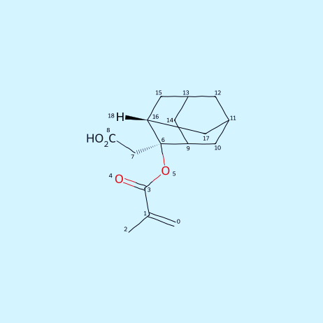 C=C(C)C(=O)O[C@]1(CC(=O)O)C2CC3CC(C2)C[C@@H]1C3